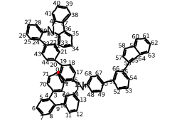 c1ccc(-c2ccccc2-c2cccc(N(c3ccc(-c4ccc(-c5ccccc5-n5c6ccccc6c6ccccc65)cc4)cc3)c3ccc(-c4cccc(-c5ccc6ccccc6c5)c4)cc3)c2)cc1